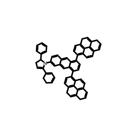 C1=CCCC(C2=CCC(c3ccccc3)N2c2ccc3cc4c(-c5ccc6c7c8c(ccc57)C=CCC8=CC6)ccc(-c5ccc6c7c8c(ccc57)C=CCC8=CC6)c4cc3c2)=C1